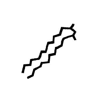 [CH2]C(CCCCCCCCCCCC)CC(C)CCCCCCCCCCC